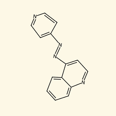 c1ccc2c(/N=N/c3ccncc3)ccnc2c1